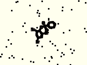 O=S(=O)(Oc1c(Br)cc(Br)cc1Br)c1ccccc1